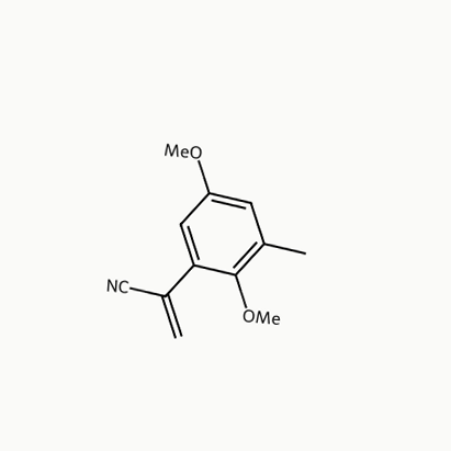 C=C(C#N)c1cc(OC)cc(C)c1OC